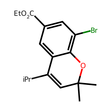 CCOC(=O)c1cc(Br)c2c(c1)C(C(C)C)=CC(C)(C)O2